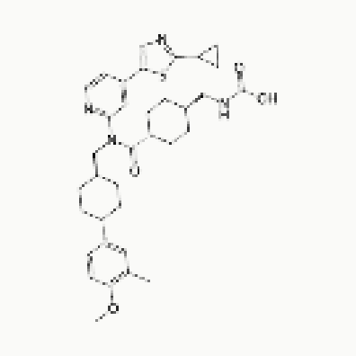 COc1ccc([C@H]2CC[C@H](CN(c3cc(-c4cnc(C5CC5)s4)ccn3)C(=O)[C@H]3CC[C@H](CNC(=O)O)CC3)CC2)cc1C